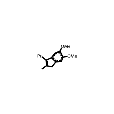 COc1cc2c(cc1OC)C(C(C)C)=C(C)C2